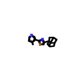 Cc1ccncc1-c1nc(C23CC4CC(CC(C4)C2)C3)cs1